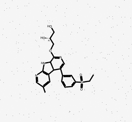 CCS(=O)(=O)c1cccc(C2=CN=C(OC[C@H](O)CO)C3Nc4ncc(C)cc4C23)c1